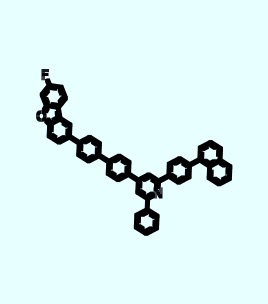 Fc1ccc2c(c1)oc1ccc(-c3ccc(-c4ccc(-c5cc(-c6ccccc6)nc(-c6ccc(-c7cccc8ccccc78)cc6)c5)cc4)cc3)cc12